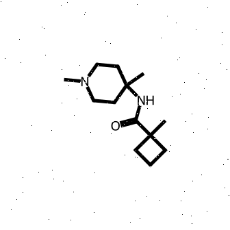 CN1CCC(C)(NC(=O)C2(C)CCC2)CC1